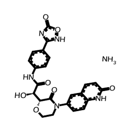 N.O=C(Nc1ccc(-c2nc(=O)o[nH]2)cc1)[C@H](O)[C@H]1OCCN(c2ccc3[nH]c(=O)ccc3c2)C1=O